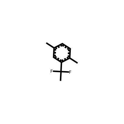 Cc1ccc(C)c(C(C)(F)F)c1